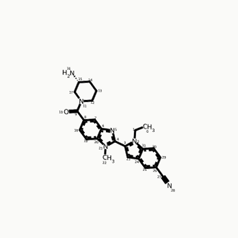 CCn1c(-c2nc3cc(C(=O)N4CCC[C@@H](N)C4)ccc3n2C)cc2cc(C#N)ccc21